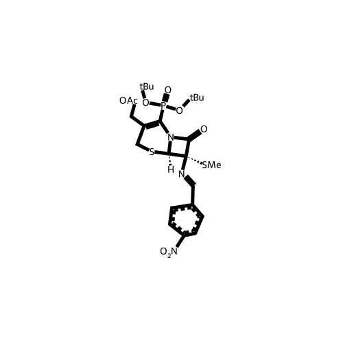 CS[C@@]1(/N=C/c2ccc([N+](=O)[O-])cc2)C(=O)N2C(P(=O)(OC(C)(C)C)OC(C)(C)C)=C(COC(C)=O)CS[C@@H]21